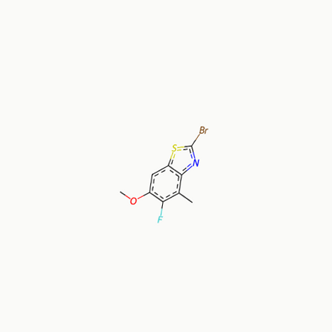 COc1cc2sc(Br)nc2c(C)c1F